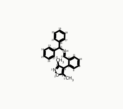 Cc1noc(C)c1-c1ccccc1C=NC(c1ccccc1)c1ccccc1